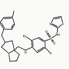 CCc1cc(S(=O)(=O)Nc2nccs2)c(F)cc1NCC12CCCN1CC(Cc1ccc(C)cc1)C2